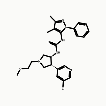 COCCN1C[C@@H](NC(=O)Nc2c(C)c(C)nn2-c2ccccc2)[C@H](c2cncc(Cl)c2)C1